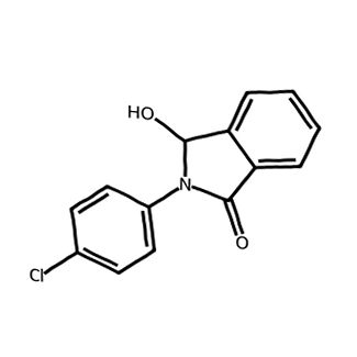 O=C1c2ccccc2C(O)N1c1ccc(Cl)cc1